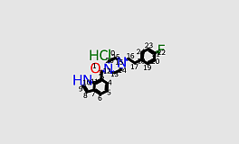 Cl.O=C(c1cccc2cc[nH]c12)N1CCN(CCc2ccc(F)cc2)CC1